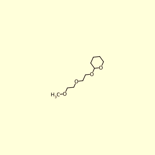 COCCOCCOC1CCCCO1